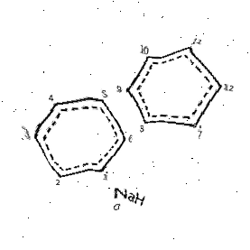 [NaH].[c]1ccccc1.[c]1ccccc1